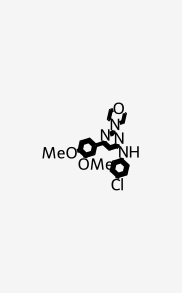 COc1ccc(-c2cc(Nc3ccc(Cl)cc3)nc(N3CCOCC3)n2)cc1OC